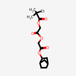 CCC(C)(C)C(=O)OCC(=O)OCC(=O)OC1CC2CCC1C2